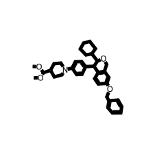 COC(OC)C1CCN(c2ccc(C3c4ccc(OCc5ccccc5)cc4COC3C3CCCCC3)cc2)CC1